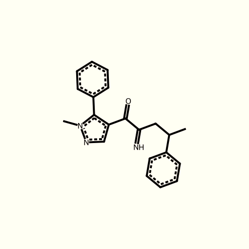 CC(CC(=N)C(=O)c1cnn(C)c1-c1ccccc1)c1ccccc1